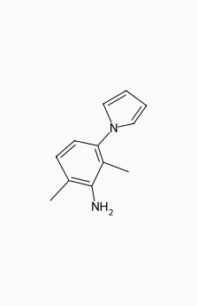 Cc1ccc(-n2cccc2)c(C)c1N